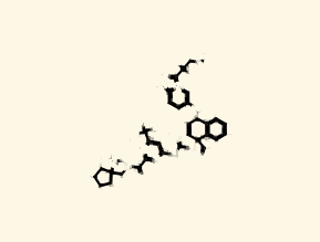 COCC(C)(C)c1nnc2ccc(O[C@@H]3C=C[C@](C=O)(NC(=O)Nc4cc(C(C)(C)C)nc(C(=O)NCC5(N(C)C)CCCC5)n4)c4ccccc43)cn12